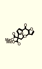 COC(=O)C1(C(=O)OC)CCn2c(C(=O)c3occc3Cl)ccc21